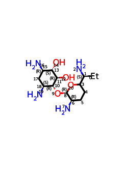 CC[C@H](N)C1CC[C@@H](N)[C@@H](O[C@H]2[C@H](O)[C@@H](O)[C@H](N)C[C@@H]2N)O1